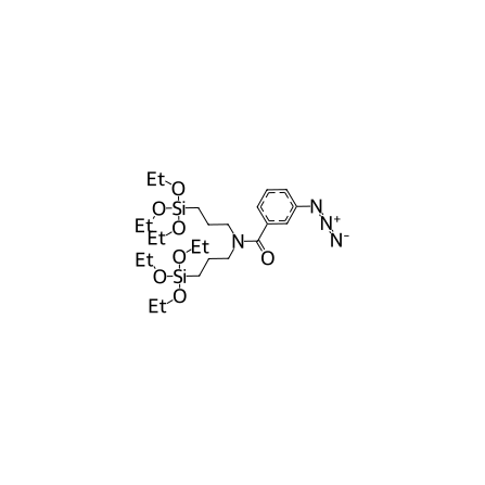 CCO[Si](CCCN(CCC[Si](OCC)(OCC)OCC)C(=O)c1cccc(N=[N+]=[N-])c1)(OCC)OCC